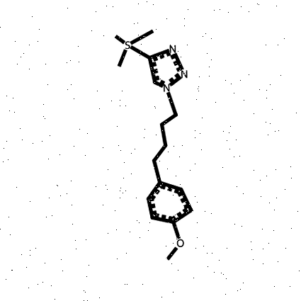 COc1ccc(CCCCn2cc(S(C)(C)C)nn2)cc1